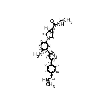 CCNC(=O)C1C2CN(c3cnc(N)c(-c4nnc(-c5ccc(CNC)cc5)o4)n3)C[C@H]21